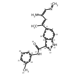 C=N/C=C(N)\C=C(/C)c1ccc2[nH]nc(C(=O)Nc3cncc(C)c3)c2c1